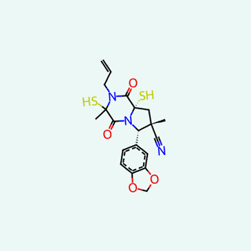 C=CCN1C(=O)[C@@]2(S)C[C@](C)(C#N)[C@H](c3ccc4c(c3)OCO4)N2C(=O)C1(C)S